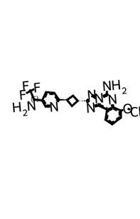 COc1cccc2c1nc(N)n1nc([C@H]3C[C@H](c4ccc([C@H](N)C(F)(F)F)cn4)C3)nc21